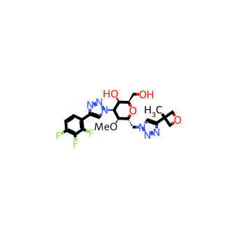 CO[C@@H]1[C@@H](n2cc(-c3ccc(F)c(F)c3F)nn2)[C@@H](O)[C@@H](CO)O[C@@H]1Cn1cc(C2(C)COC2)nn1